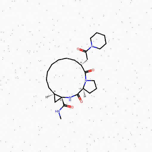 CNC(=O)[C@@]12C[C@H]1CCCCCCC[C@H](CC(=O)N1CCCCC1)C(=O)N1CCC[C@H]1C(=O)N2